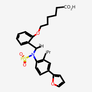 [2H]C(c1ccccc1OCCCCCC(=O)O)N(c1ccc(-c2ccco2)cc1C(C)C)[SH](=O)=O